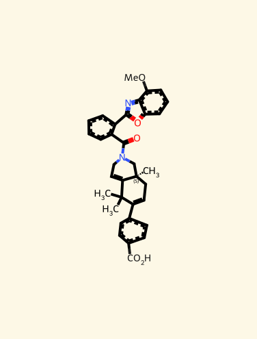 COc1cccc2oc(-c3ccccc3C(=O)N3CC=C4C(C)(C)C(c5ccc(C(=O)O)cc5)=CC[C@]4(C)C3)nc12